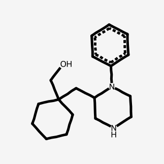 OCC1(CC2CNCCN2c2ccccc2)CCCCC1